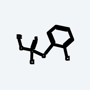 CCOP(=S)(Cl)Oc1ccccc1Cl